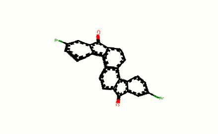 O=c1c2cc(Br)ccc2c2c1ccc1c2ccc2c(=O)c3cc(Br)ccc3c21